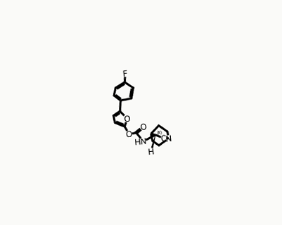 O=C(N[C@H]1CN2CCC1CC2)Oc1ccc(-c2ccc(F)cc2)o1